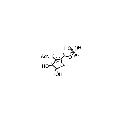 CC(=O)N[C@@H]1C(O)C(O)O[C@@H]1COP(=O)(O)O